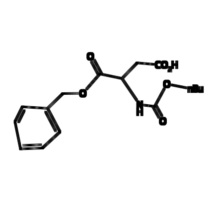 CCCCOC(=O)NC(CC(=O)O)C(=O)OCc1ccccc1